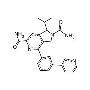 CC(C)C1c2cc(C(N)=O)nc(-c3cccc(-c4cccnc4)c3)c2CN1C(N)=O